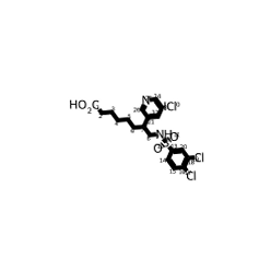 Cl.O=C(O)CCCCCC(CNS(=O)(=O)c1ccc(Cl)c(Cl)c1)c1cccnc1